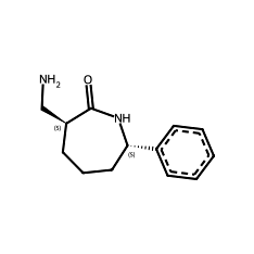 NC[C@@H]1CCC[C@@H](c2ccccc2)NC1=O